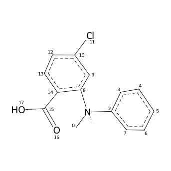 CN(c1ccccc1)c1cc(Cl)ccc1C(=O)O